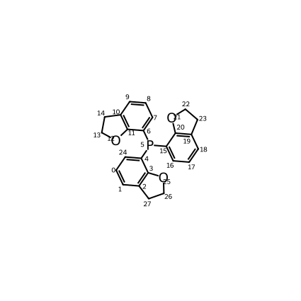 c1cc2c(c(P(c3cccc4c3OCC4)c3cccc4c3OCC4)c1)OCC2